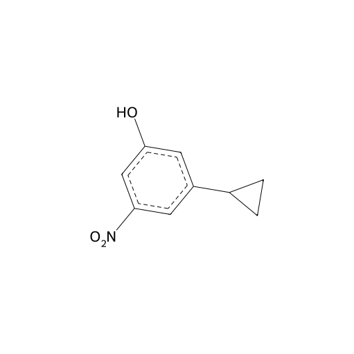 O=[N+]([O-])c1cc(O)cc(C2CC2)c1